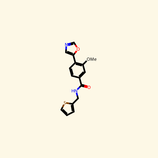 COc1cc(C(=O)NCc2cccs2)ccc1-c1cnco1